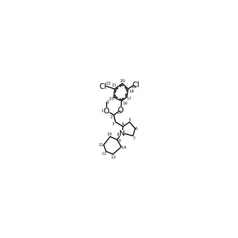 COC(CC1CCCN1C1CCCCC1)Oc1cc(Cl)cc(Cl)c1